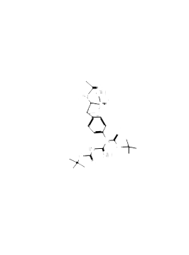 CC(=O)NC(Cc1ccc(N(C(=N)NC(=O)OC(C)(C)C)C(=O)OC(C)(C)C)cc1)P(=O)(O)O